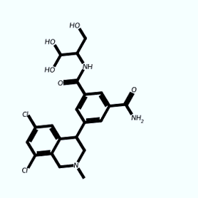 CN1Cc2c(Cl)cc(Cl)cc2C(c2cc(C(N)=O)cc(C(=O)NC(CO)C(O)O)c2)C1